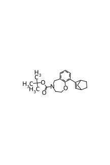 CC(C)(C)OC(=O)N1CCOc2c(cccc2C2=CC3CCC2C3)C1